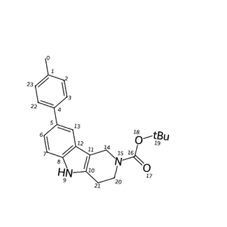 Cc1ccc(-c2ccc3[nH]c4c(c3c2)CN(C(=O)OC(C)(C)C)CC4)cc1